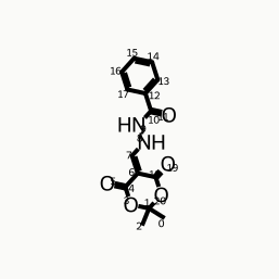 CC1(C)OC(=O)C(=CNNC(=O)c2ccccc2)C(=O)O1